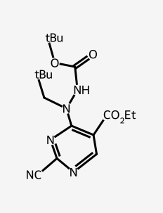 CCOC(=O)c1cnc(C#N)nc1N(CC(C)(C)C)NC(=O)OC(C)(C)C